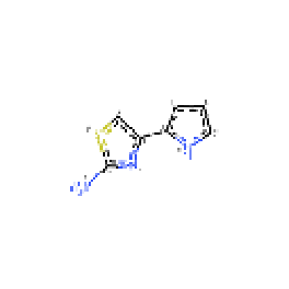 Nc1nc(-c2ccc[nH]2)cs1